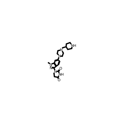 Cn1nc(N2CCC(=O)NC2=O)c2ccc(N3CCN(CC4CCNCC4)CC3)cc21